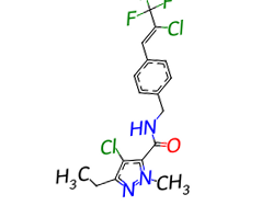 CCc1nn(C)c(C(=O)NCc2ccc(C=C(Cl)C(F)(F)F)cc2)c1Cl